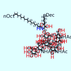 CCCCCCCC/C=C\CCCCCCCCCCCCCC(=O)N[C@@H](CO[C@@H]1OC(CO)[C@@H](O[C@@H]2OC(CO)[C@H](O[C@@H]3OC(CO)[C@H](O)[C@H](O[C@@H]4OC(CO)[C@H](O)[C@H](O)C4O)C3NC(C)=O)[C@H](O[C@]3(C(=O)O)CC(O)[C@@H](NC(C)=O)C([C@H](O)[C@@H](CO)O[C@]4(C(=O)O)CC(O)[C@@H](NC(C)=O)C([C@H](O)[C@H](O)CO)O4)O3)C2O)[C@H](O)C1O)[C@H](O)/C=C/CCCCCCCCCCCCC